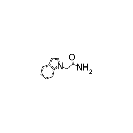 NC(=O)Cn1ccc2ccccc21